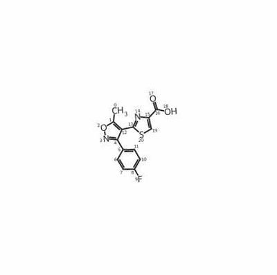 Cc1onc(-c2ccc(F)cc2)c1-c1nc(C(=O)O)cs1